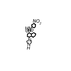 O=[N+]([O-])c1cccc(NS(=O)(=O)c2ccc(N3CCNCC3)c3ccccc23)c1